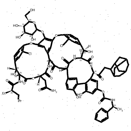 CC[C@H](CC(C)C)C(=O)N[C@H]1C(=O)C[C@@H](CC(N)=O)C(=O)N[C@H]2C(=O)C[C@@H]3C(=O)N[C@H](C(=O)N[C@H](C(=O)CC4C5CC6CC(C5)CC4C6)c4cc(OC(=O)N[C@@H](C)c5ccccc5)cc(O)c4-c4cc3ccc4O)[C@H](O)c3ccc(c(Cl)c3)Oc3cc2cc(c3OC2O[C@H](CO)[C@@H](O)[C@H](O)[C@H]2O)Oc2ccc(cc2Cl)[C@H]1O